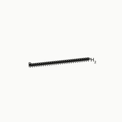 CP(#P)P=PP=PP=PP=PP=PP=PP=PP=PP=PP=PP=PP=PP=PP=PP=PP=PP=PP=PP=PP=PP=PP=PP=PP=PP=PP=PP=PP